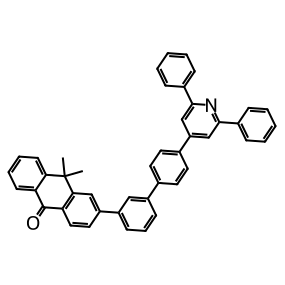 CC1(C)c2ccccc2C(=O)c2ccc(-c3cccc(-c4ccc(-c5cc(-c6ccccc6)nc(-c6ccccc6)c5)cc4)c3)cc21